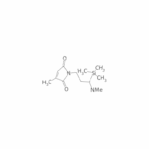 CNC(CCN1C(=O)C=C(C)C1=O)[Si](C)(C)C